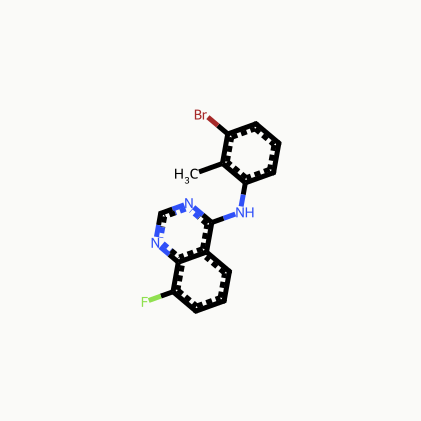 Cc1c(Br)cccc1Nc1ncnc2c(F)cccc12